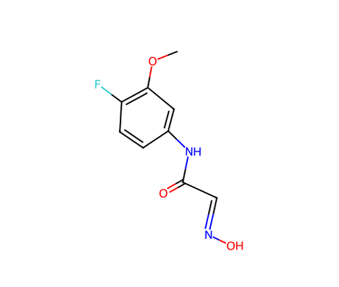 COc1cc(NC(=O)C=NO)ccc1F